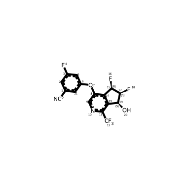 N#Cc1cc(F)cc(Oc2cnc(C(F)(F)F)c3c2[C@@H](F)[C@@H](F)[C@H]3O)c1